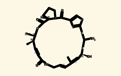 CC1=C\[C@@H](O)CC(N)Cc2nc(cs2)C(=O)N2CCC[C@@H]2C(=O)O[C@H](C(C)C)[C@H](C)/C=C/C(=O)NC\C=C\1